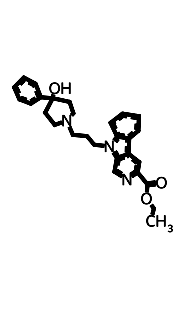 CCOC(=O)c1cc2c3ccccc3n(CCCN3CCC(O)(c4ccccc4)CC3)c2cn1